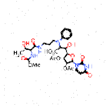 COC(=O)N[C@H](C(=O)NCCCN(c1ccccc1)C(C(=O)O)C(O)[C@H]1O[C@@H](n2ccc(=O)[nH]c2=O)[C@H](OC(C)=O)[C@@H]1OC(C)=O)[C@H](C)O